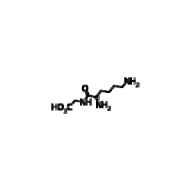 NCCCC[C@@H](N)C(=O)NCC(=O)O